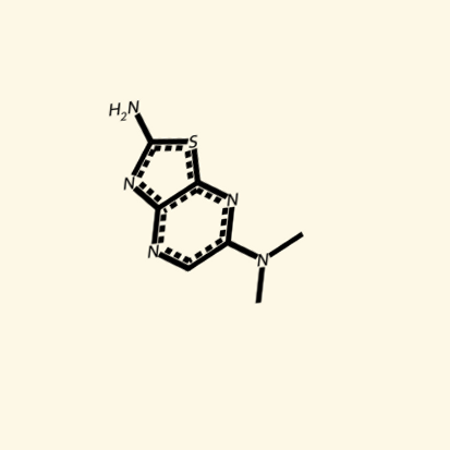 CN(C)c1cnc2nc(N)sc2n1